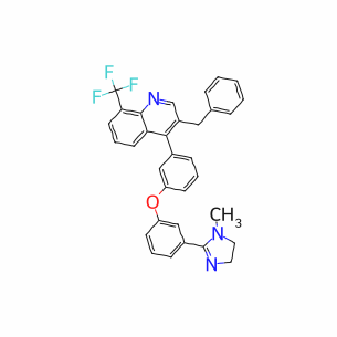 CN1CCN=C1c1cccc(Oc2cccc(-c3c(Cc4ccccc4)cnc4c(C(F)(F)F)cccc34)c2)c1